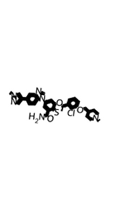 C[C@@H](OC1C=C(n2cnc3cc(-c4cnn(C)c4)ccc32)C=C(C(N)=O)C1=S)c1cccc(OCC2CCN(C)CC2)c1Cl